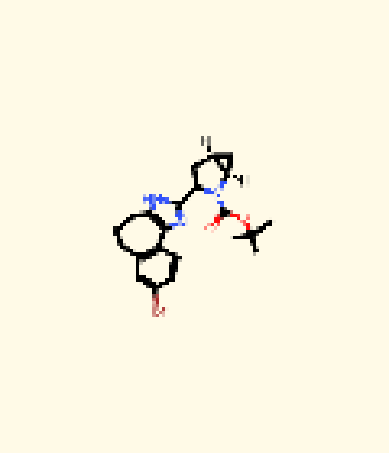 CC(C)(C)OC(=O)N1C(c2nc3c([nH]2)CCCc2cc(Br)ccc2-3)C[C@H]2C[C@H]21